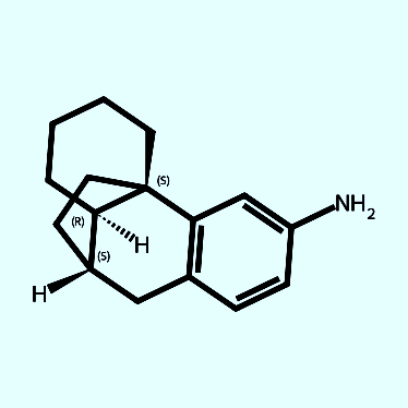 Nc1ccc2c(c1)[C@]13CCCC[C@@H]1[C@@H](CC3)C2